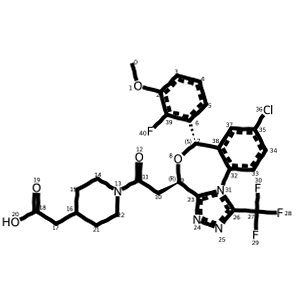 COc1cccc([C@H]2O[C@H](CC(=O)N3CCC(CC(=O)O)CC3)c3nnc(C(F)(F)F)n3-c3ccc(Cl)cc32)c1F